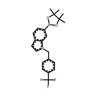 CC1(C)OB(c2ccc3ccn(Cc4ccc(C(F)(F)F)cc4)c3c2)OC1(C)C